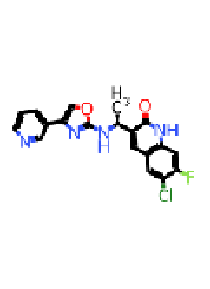 C[C@H](Nc1nc(-c2cccnc2)co1)c1cc2cc(Cl)c(F)cc2[nH]c1=O